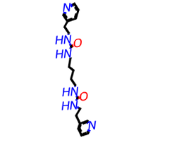 O=C(NCCCCCNC(=O)NCCc1cccnc1)NCCc1cccnc1